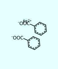 O=C([O-])c1ccccc1.O=C([O-])c1ccccc1.[Pt+2]